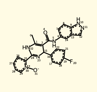 CC1=C(C(=O)Nc2ccc3[nH]ncc3c2)C(c2ccc(F)cc2)N=C(c2cccc[n+]2[O-])N1